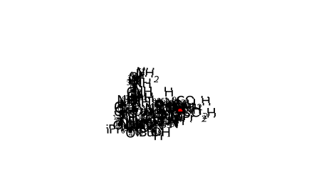 CC[C@H](C)[C@H](NC(=O)[C@H](CC(C)C)NC(=O)[C@H](C)NC(=O)[C@H](CC(N)=O)NC(=O)[C@H](CC(C)C)NC(=O)[C@H](C)NC(=O)[C@H](CC(C)C)NC(=O)CN)C(=O)N[C@@H](Cc1c[nH]cn1)C(=O)N[C@@H](CO)C(=O)N[C@@H](Cc1c[nH]cn1)C(=O)N[C@@H](CCCNC(=N)N)C(=O)N1CCC[C@H]1C(=O)N[C@@H](CC(=O)O)C(=O)N[C@@H](CC(C)C)C(=O)O